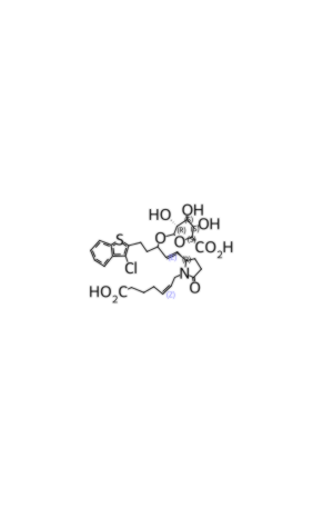 O=C(O)CCC/C=C\CN1C(=O)CC[C@@H]1/C=C/C(CCc1sc2ccccc2c1Cl)OC1O[C@H](C(=O)O)[C@@H](O)[C@H](O)[C@H]1O